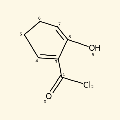 O=C(Cl)C1=CCCC=C1O